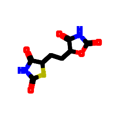 O=C1NC(=O)C(CCC2SC(=O)NC2=O)O1